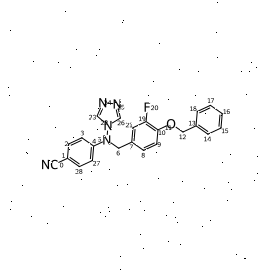 N#Cc1ccc(N(Cc2ccc(OCc3ccccc3)c(F)c2)n2cnnc2)cc1